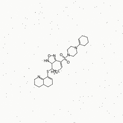 C/C=C(\C1=NONC1C(C)SC1=CCCC2CCCN=C12)S(=O)(=O)N1CCN(C2=CCCCC2)CC1